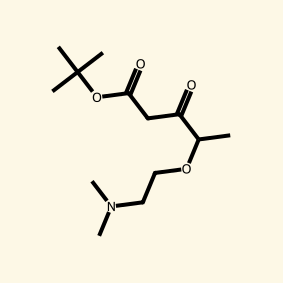 CC(OCCN(C)C)C(=O)CC(=O)OC(C)(C)C